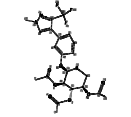 CC(=O)O[C@@H]1[C@@H](OC(C)=O)[C@@H](Oc2cccc(-c3cn(C)nc3C(F)(F)F)c2)SC[C@H]1OC(C)=O